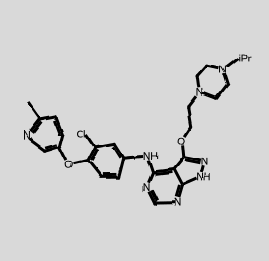 Cc1ccc(Oc2ccc(Nc3ncnc4[nH]nc(OCCN5CCN(C(C)C)CC5)c34)cc2Cl)cn1